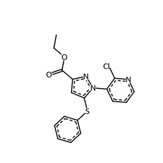 CCOC(=O)c1cc(Sc2ccccc2)n(-c2cccnc2Cl)n1